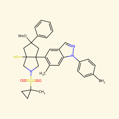 Bc1ccc(-n2ncc3cc(C45CN(S(=O)(=O)C6(C)CC6)CC4(S)CC(OC)(c4ccccc4)C5)c(C)cc32)cc1